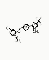 COc1cnc(Cl)cc1OCC12CCC(c3nc(C(F)(F)F)cn3C)(CC1)CC2